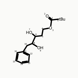 CC(C)(C)C(=O)OCCC(O)C(O)Cc1ccccc1